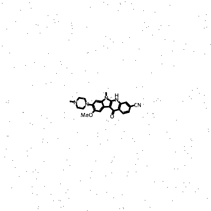 COc1cc2c3c(=O)c4ccc(C#N)cc4[nH]c3n(C)c2cc1N1CCN(C)CC1